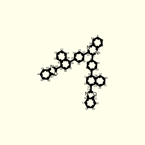 c1ccc2nc(-c3ccc(-c4ccc(-c5nc6ccccc6o5)c5ccccc45)cc3)c(-c3ccc(-c4ccc(-c5nc6ccccc6o5)c5ccccc45)cc3)nc2c1